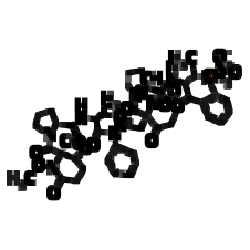 CON1C(=O)CCC(=O)[C@]1(C)C(=O)N1CCC[C@H]1C(=O)N[C@@H](C)C(=O)N(c1ccccc1)[N+](=O)C[C@]1(C(=O)N2CCC[C@H]2C(=O)N[C@H](C(=O)c2ccccc2[N-][N+](=O)[O-])C(C)C)C(=O)CCC(=O)N1OC